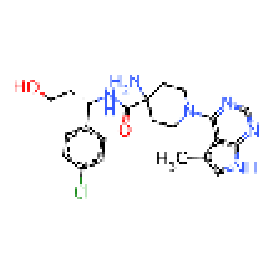 Cc1c[nH]c2ncnc(N3CCC(N)(C(=O)N[C@@H](CCO)c4ccc(Cl)cc4)CC3)c12